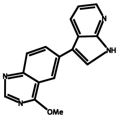 COc1ncnc2ccc(-c3c[nH]c4ncccc34)cc12